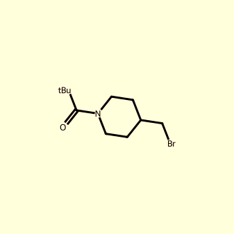 CC(C)(C)C(=O)N1CCC(CBr)CC1